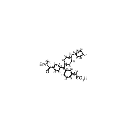 CCN(CC)C(=O)c1ccc([C@H](c2cccc(N(C)C(=O)O)c2)N2CCN(Cc3ccccn3)CC2)cc1